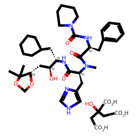 CN(C(=O)[C@H](Cc1ccccc1)NC(=O)N1CCCCC1)[C@@H](Cc1c[nH]cn1)C(=O)N[C@@H](CC1CCCCC1)[C@@H](O)C[C@@H]1OCOC1(C)C.O=C(O)CC(O)(CC(=O)O)C(=O)O